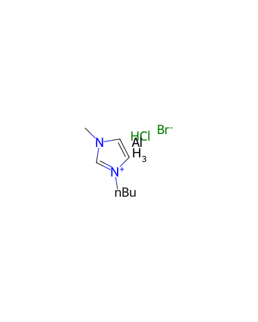 CCCC[n+]1ccn(C)c1.Cl.[AlH3].[Br-]